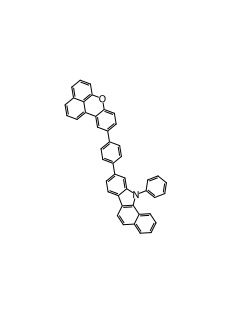 c1ccc(-n2c3cc(-c4ccc(-c5ccc6c(c5)-c5cccc7cccc(c57)O6)cc4)ccc3c3ccc4ccccc4c32)cc1